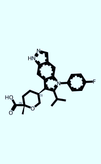 CC(C)c1c([C@@H]2CC[C@@](C)(C(=O)O)OC2)c2cc3[nH]ncc3cc2n1-c1ccc(F)cc1